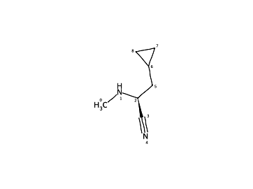 CN[C@H](C#N)CC1CC1